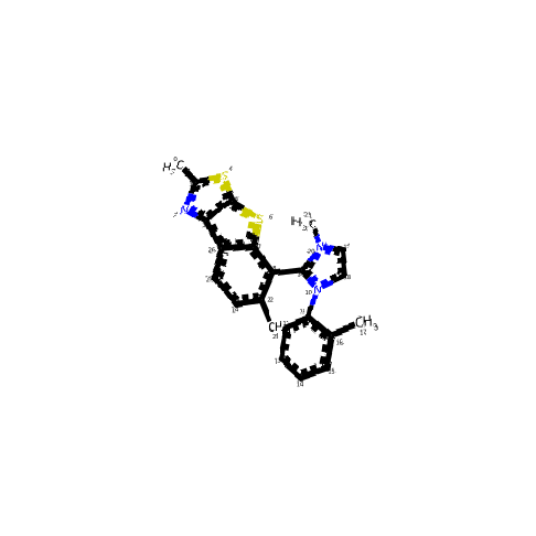 Cc1nc2c(s1)sc1c(-c3n(-c4ccccc4C)cc[n+]3C)c(C)ccc12